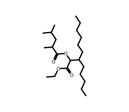 CCCCCCC(CCCCC)C(OC(=O)C(C)CC(C)C)C(=O)OCC